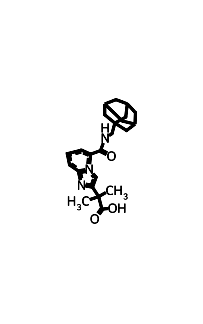 CC(C)(C(=O)O)c1cn2c(C(=O)NCC34CC5CC(CC(C5)C3)C4)cccc2n1